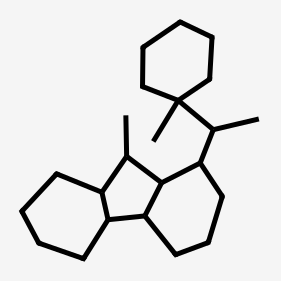 CC1C2CCCCC2C2CCCC(C(C)C3(C)CCCCC3)C12